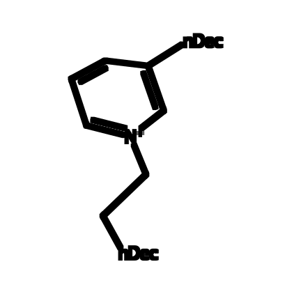 CCCCCCCCCCCC[n+]1cccc(CCCCCCCCCC)c1